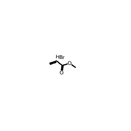 Br.C=CC(=O)OC